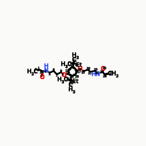 C=CC(=O)NCCCCOc1cc(C(C)(C)CC)c(OCCCCNC(=O)C=C)cc1C(C)(C)CC